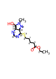 CCOC(=O)CCCCSc1ncnc2c(O)n(C)nc12